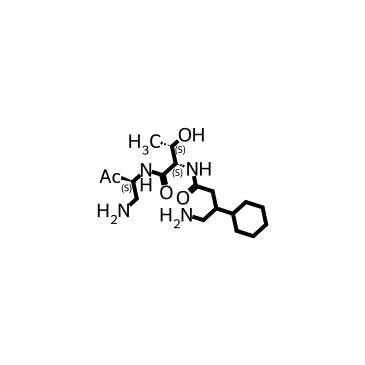 CC(=O)[C@H](CN)NC(=O)[C@@H](NC(=O)CC(CN)C1CCCCC1)[C@H](C)O